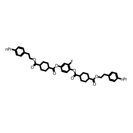 CCCc1ccc(CCOC(=O)C2CCC(C(=O)Oc3ccc(OC(=O)C4CCC(C(=O)OCCc5ccc(CCC)cc5)CC4)c(F)c3)CC2)cc1